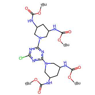 CC(C)(C)OC(=O)NC1CC(NC(=O)OC(C)(C)C)CN(c2nc(Cl)nc(N3CC(NC(=O)OC(C)(C)C)CC(NC(=O)OC(C)(C)C)C3)n2)C1